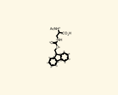 CC(=O)NC(CNC(=O)OCC1c2ccccc2-c2ccccc21)C(=O)O